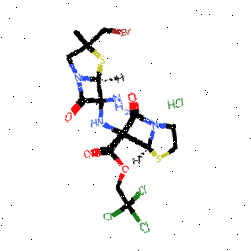 CC1(CBr)CN2C(=O)C(N)(NC3(C(=O)OCC(Cl)(Cl)Cl)C(=O)N4CCS[C@H]43)[C@@H]2S1.Cl